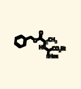 CCCCCCC(N[C@@H](C)C(=O)OCc1ccccc1)C(=O)OCC